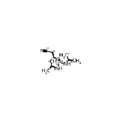 CC(C)NP(NC(C)C)OCCC#N